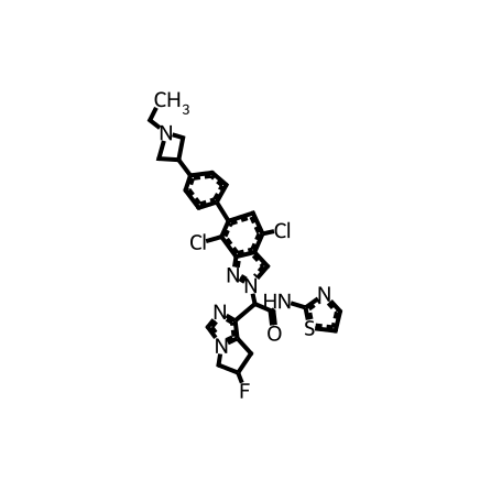 CCN1CC(c2ccc(-c3cc(Cl)c4cn(C(C(=O)Nc5nccs5)c5ncn6c5CC(F)C6)nc4c3Cl)cc2)C1